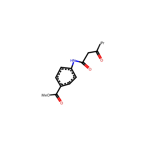 COC(=O)c1ccc(NC(=O)CC(=O)C(C)C)cc1